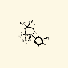 CC1(C)COP(=S)(c2cccc(Cl)c2)C(C)(C)N1